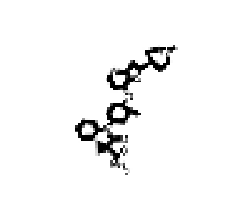 CN1CC=C(c2cc3nccc(Oc4ccc(N(C(=O)C5(C(N)=O)CC5)c5ccccc5)cc4F)c3s2)CC1